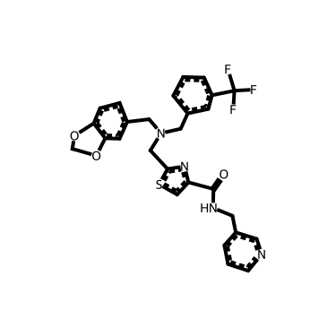 O=C(NCc1cccnc1)c1csc(CN(Cc2cccc(C(F)(F)F)c2)Cc2ccc3c(c2)OCO3)n1